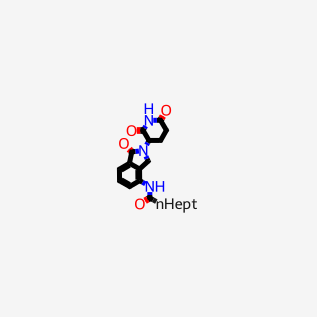 CCCCCCCC(=O)Nc1cccc2c1CN(C1CCC(=O)NC1=O)C2=O